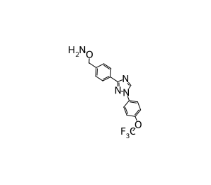 NOCc1ccc(-c2ncn(-c3ccc(OC(F)(F)F)cc3)n2)cc1